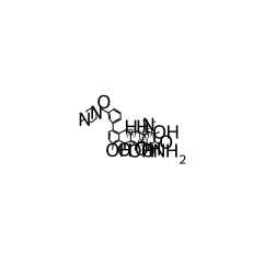 CN1CCN(C(=O)c2cccc(-c3ccc(O)c4c3C[C@H]3C[C@H]5[C@H](N(C)C)C(O)=C(C(N)=O)C(=O)[C@@]5(O)C(O)=C3C4=O)c2)CC1